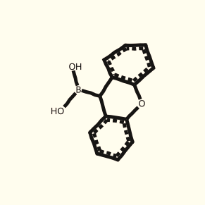 OB(O)C1c2ccccc2Oc2ccccc21